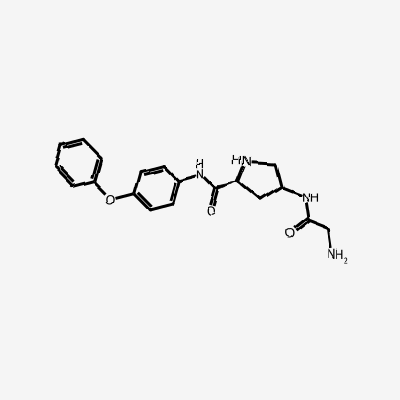 NCC(=O)NC1CN[C@H](C(=O)Nc2ccc(Oc3ccccc3)cc2)C1